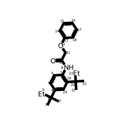 CCC(C)(C)c1ccc(NC(=O)COc2ccccc2)c(C(C)(C)CC)c1